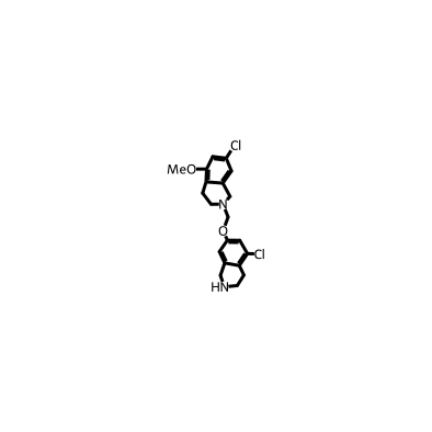 COc1cc(Cl)cc2c1CCN(COc1cc(Cl)c3c(c1)CNCC3)C2